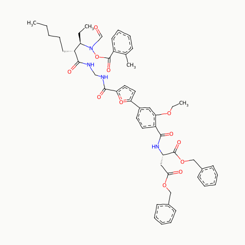 CCCCC[C@@H](C(=O)NCNC(=O)c1ccc(-c2ccc(C(=O)N[C@@H](CC(=O)OCc3ccccc3)C(=O)OCc3ccccc3)c(OCC)c2)o1)[C@@H](CC)N(C=O)OC(=O)c1ccccc1C